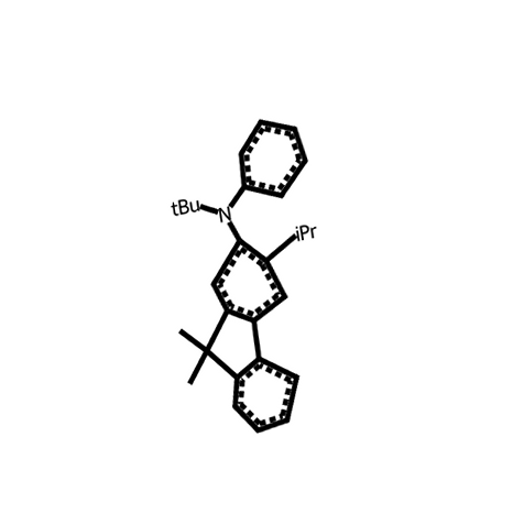 CC(C)c1cc2c(cc1N(c1ccccc1)C(C)(C)C)C(C)(C)c1ccccc1-2